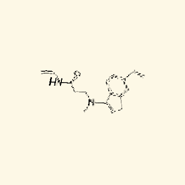 C=CNC(=O)CCN(C)C1=CCc2cc(C=C)ccc21